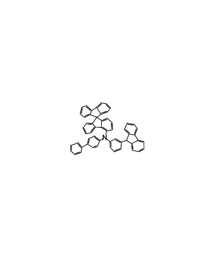 c1ccc(-c2ccc(N(c3cccc(C4c5ccccc5-c5ccccc54)c3)c3cccc4c3-c3ccccc3C43c4ccccc4-c4ccccc43)cc2)cc1